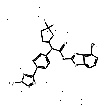 Cc1cccc2sc(NC(=O)C(c3ccc(-c4nnn(C)n4)cc3)C3CCC(F)(F)C3)nc12